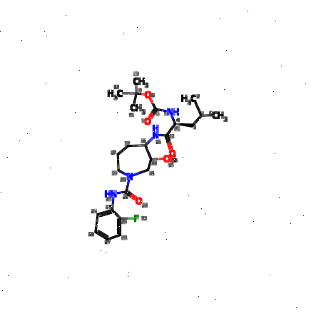 CC(C)C[C@H](NC(=O)OC(C)(C)C)C(=O)NC1CCCN(C(=O)Nc2ccccc2F)CC1O